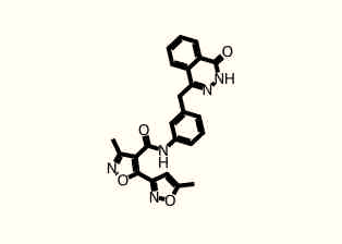 Cc1cc(-c2onc(C)c2C(=O)Nc2cccc(Cc3n[nH]c(=O)c4ccccc34)c2)no1